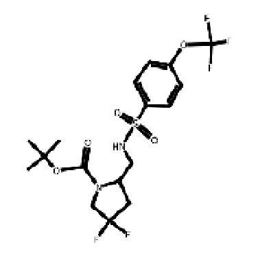 CC(C)(C)OC(=O)N1CC(F)(F)CC1CNS(=O)(=O)c1ccc(OC(F)(F)F)cc1